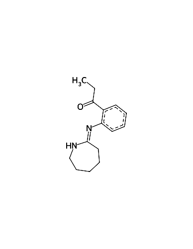 CCC(=O)c1ccccc1/N=C1\CCCCCN1